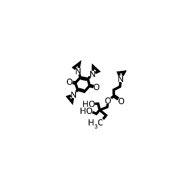 CCC(CO)(CO)COC(=O)CCN1CC1.O=C1C=C(N2CC2)C(=O)C(N2CC2)=C1N1CC1